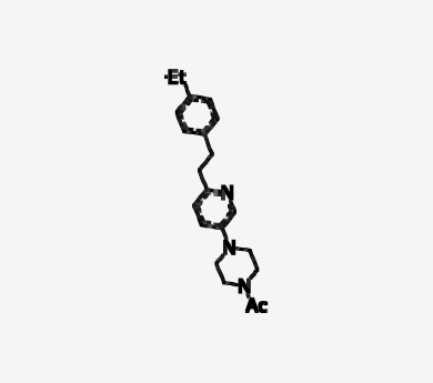 C[CH]c1ccc(CCc2ccc(N3CCN(C(C)=O)CC3)cn2)cc1